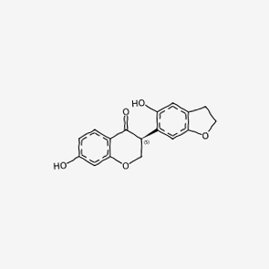 O=C1c2ccc(O)cc2OC[C@@H]1c1cc2c(cc1O)CCO2